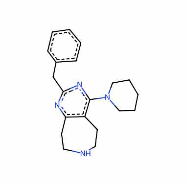 c1ccc(Cc2nc3c(c(N4CCCCC4)n2)CCNCC3)cc1